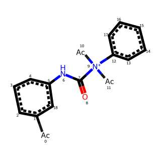 CC(=O)c1cccc(NC(=O)[N+](C(C)=O)(C(C)=O)c2ccccc2)c1